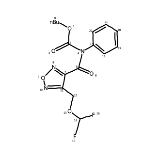 CCCCOC(=O)N(C(=O)c1nonc1COC(F)F)c1ccccc1